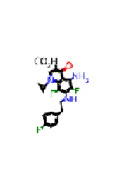 Nc1c(F)c(NCCc2ccc(F)cc2)c(F)c2c1c(=O)c(C(=O)O)cn2C1CC1